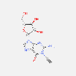 C#Cn1c(N)nc2c(ncn2[C@@H]2O[C@H](CO)[C@@H](O)[C@H]2O)c1=O